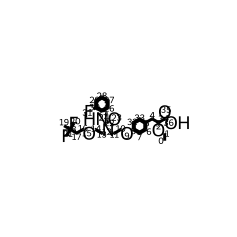 CCOC(Cc1ccc(OCCN(CCOCCC(C)(F)F)C(=O)Nc2ccccc2F)cc1)C(=O)O